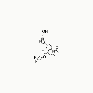 CC(=O)N1c2ccc(-c3cnn(CCO)c3)cc2N(C(=O)OC2CC(F)(F)C2)CC1C